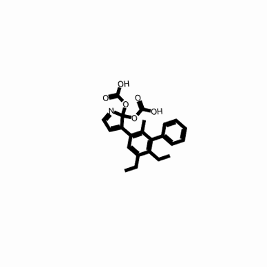 CCc1cc(C2=CC=NC2(OC(=O)O)OC(=O)O)c(C)c(-c2ccccc2)c1CC